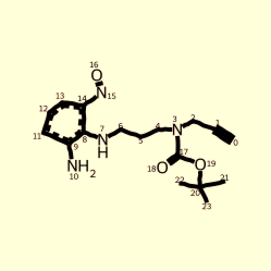 C#CCN(CCCNc1c(N)cccc1N=O)C(=O)OC(C)(C)C